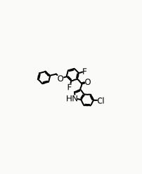 O=C(c1c(F)ccc(OCc2ccccc2)c1F)c1c[nH]c2ccc(Cl)cc12